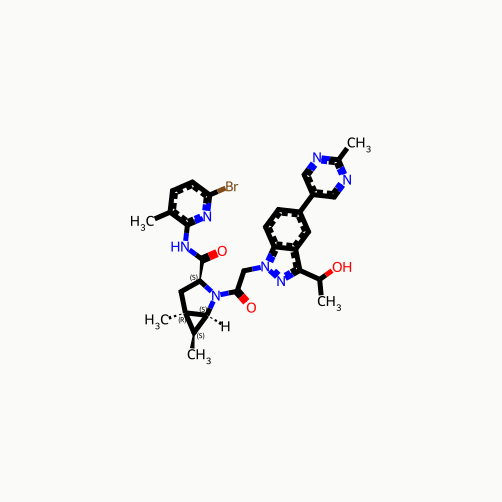 Cc1ncc(-c2ccc3c(c2)c(C(C)O)nn3CC(=O)N2[C@H]3[C@@H](C)[C@@]3(C)C[C@H]2C(=O)Nc2nc(Br)ccc2C)cn1